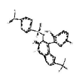 O=c1[nH]c2ccc(C(F)(F)F)cc2c(-c2cc(Cl)ccc2O)c1NS(=O)(=O)c1ccc([N+](=O)[O-])cc1